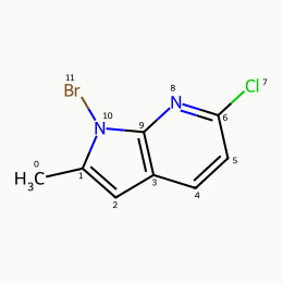 Cc1cc2ccc(Cl)nc2n1Br